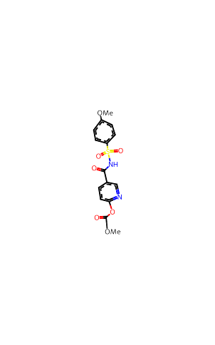 COC(=O)Oc1ccc(C(=O)NS(=O)(=O)c2ccc(OC)cc2)cn1